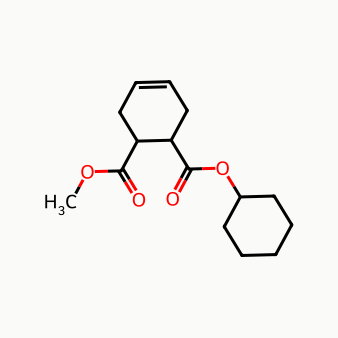 COC(=O)C1CC=CCC1C(=O)OC1CCCCC1